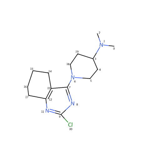 CN(C)C1CCN(c2nc(Cl)nc3c2CCCC3)CC1